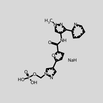 Cn1cc(NC(=O)c2ccc(-c3cnn(COP(=O)(O)O)c3)o2)c(-c2ccccn2)n1.[NaH]